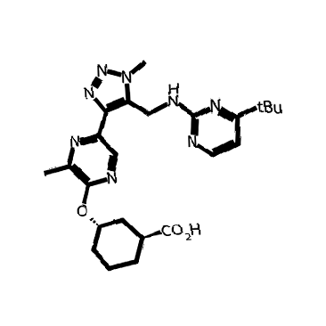 Cc1nc(-c2nnn(C)c2CNc2nccc(C(C)(C)C)n2)cnc1O[C@H]1CCC[C@H](C(=O)O)C1